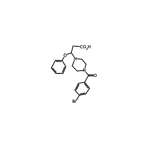 O=C(O)CC(Oc1ccccc1)N1CCN(C(=O)c2ccc(Br)cc2)CC1